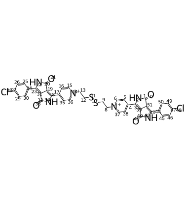 O=C1NC(c2cc[n+](CCSSCC[n+]3ccc(C4=C5C(=O)NC(c6ccc(Cl)cc6)=C5C(=O)N4)cc3)cc2)=C2C(=O)NC(c3ccc(Cl)cc3)=C12